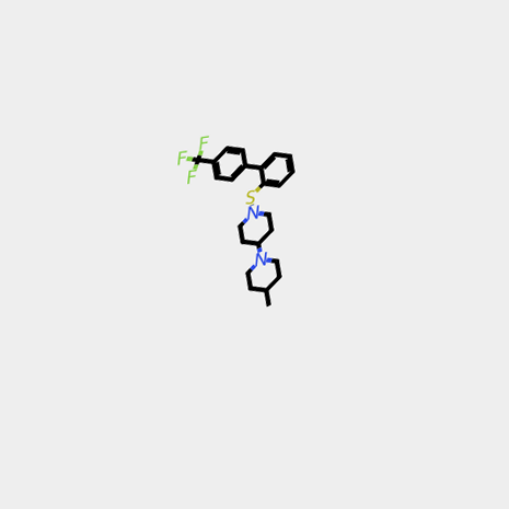 CC1CCN(C2CCN(Sc3ccccc3-c3ccc(C(F)(F)F)cc3)CC2)CC1